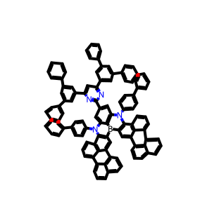 c1ccc(-c2ccc(N3c4cc(-c5nc(-c6cc(-c7ccccc7)cc(-c7ccccc7)c6)cc(-c6cc(-c7ccccc7)cc(-c7ccccc7)c6)n5)cc5c4B(c4cc6c7cccc8cccc(c9cccc(c43)c96)c87)c3cc4c6cccc7cccc(c8cccc(c3N5c3ccc(-c5ccccc5)cc3)c84)c76)cc2)cc1